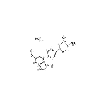 CCOc1cc(-c2ccc(N3CC[C@@H](N)[C@@H](O)C3)nc2)c2c(C#N)cnn2c1.Cl.Cl